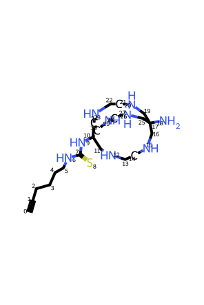 C#CCCCCNC(=S)NC12CNCCNCC(N)(CNCCNC1)CNCCNC2